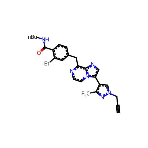 C#CCn1cc(-c2cnc3c(Cc4ccc(C(=O)NCCCC)c(CC)c4)nccn23)c(C(F)(F)F)n1